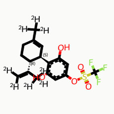 [2H]C([2H])=C([C@@H]1CCC(C([2H])([2H])[2H])=C[C@H]1c1c(O)cc(OS(=O)(=O)C(F)(F)F)cc1O)C([2H])([2H])[2H]